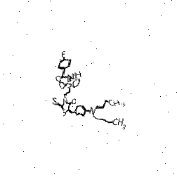 CCCCN(CCCC)c1ccc(C=C2SC(=S)N(CCS(=O)(=O)NC(=O)c3ccc(F)cc3)C2=O)cc1